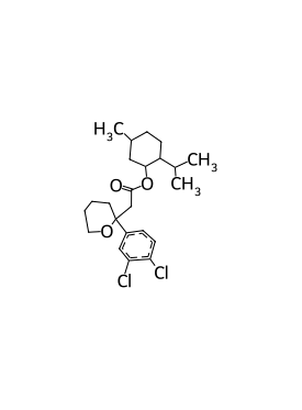 CC1CCC(C(C)C)C(OC(=O)CC2(c3ccc(Cl)c(Cl)c3)CCCCO2)C1